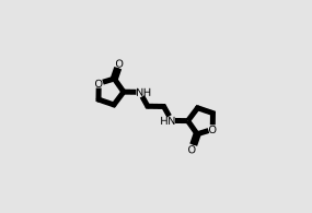 O=C1OCCC1NCCNC1CCOC1=O